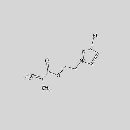 C=C(C)C(=O)OCC[n+]1ccn(CC)c1